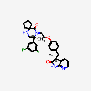 CC[C@@]1(Cc2ccc(OCCN3C(=O)C4(CCCC4)NC[C@@]3(C)c3cc(F)cc(F)c3)cc2)C(=O)Nc2ncccc21